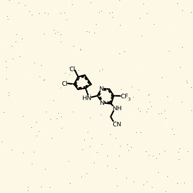 N#CCNc1nc(Nc2ccc(Cl)c(Cl)c2)ncc1C(F)(F)F